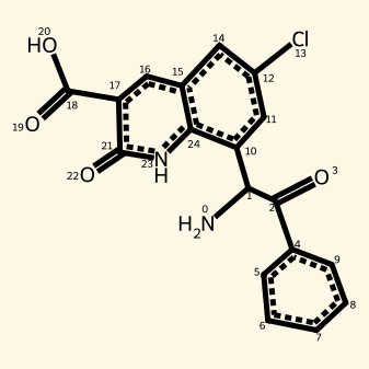 NC(C(=O)c1ccccc1)c1cc(Cl)cc2cc(C(=O)O)c(=O)[nH]c12